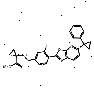 COC(=O)C1(NCc2ccc(-c3nc4ccc(C5(c6ccccc6)CC5)nc4s3)c(F)c2)CC1